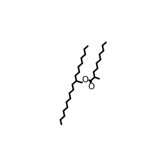 CCCCCCCCCCC(CCCCCCCC)COC(=O)C(C)CCCCCCCC